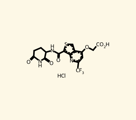 Cl.O=C(O)COc1cc(C(F)(F)F)nc2c(C(=O)NC3CCC(=O)NC3=O)scc12